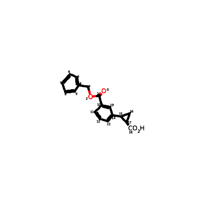 O=C(OCc1ccccc1)c1cccc(C2CC2C(=O)O)c1